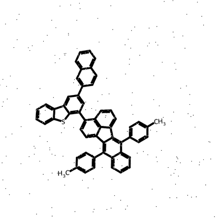 Cc1ccc(-c2c3c(c(-c4ccc(C)cc4)c4ccccc24)-c2ccc(-c4cc(-c5ccc6ccccc6c5)cc5c4sc4ccccc45)c4cccc-3c24)cc1